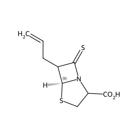 C=CCC1C(=S)N2C(C(=O)O)CS[C@@H]12